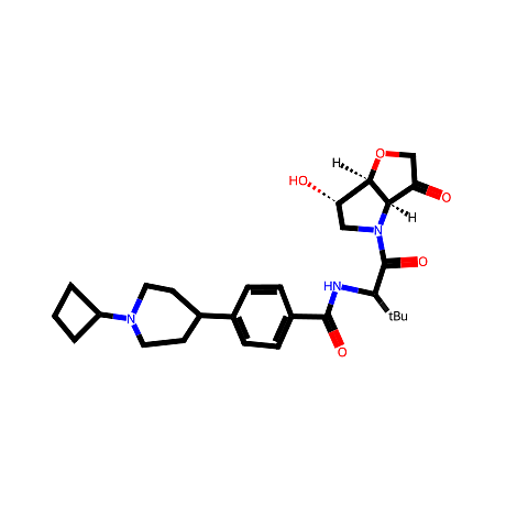 CC(C)(C)C(NC(=O)c1ccc(C2CCN(C3CCC3)CC2)cc1)C(=O)N1C[C@H](O)[C@H]2OCC(=O)[C@H]21